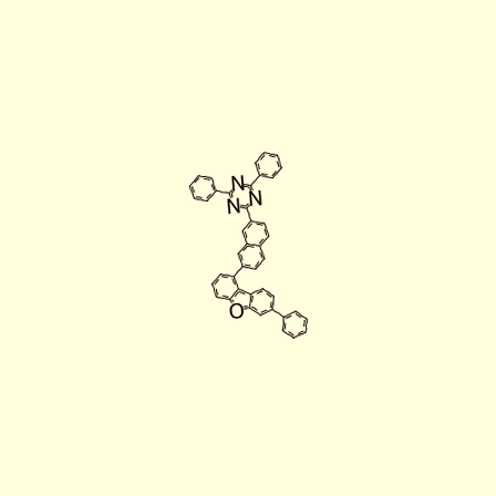 c1ccc(-c2ccc3c(c2)oc2cccc(-c4ccc5ccc(-c6nc(-c7ccccc7)nc(-c7ccccc7)n6)cc5c4)c23)cc1